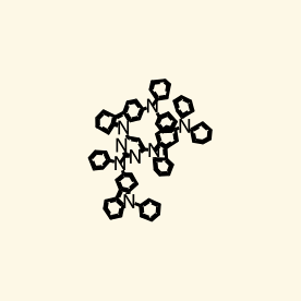 c1ccc(N(c2ccccc2)c2ccc3c(c2)c2ccccc2n3-c2cc(-n3c4ccccc4c4ccc(N(c5ccccc5)c5ccccc5)cc43)nc(N(c3ccccc3)c3ccc4c(c3)c3ccccc3n4-c3ccccc3)n2)cc1